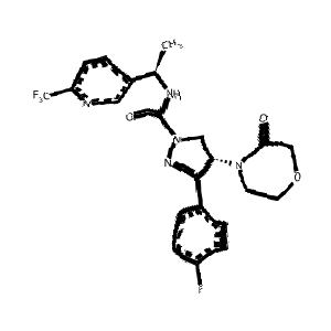 C[C@@H](NC(=O)N1C[C@H](N2CCOCC2=O)C(c2ccc(F)cc2)=N1)c1ccc(C(F)(F)F)nc1